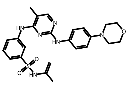 C=C(C)NS(=O)(=O)c1cccc(Nc2nc(Nc3ccc(N4CCOCC4)cc3)ncc2C)c1